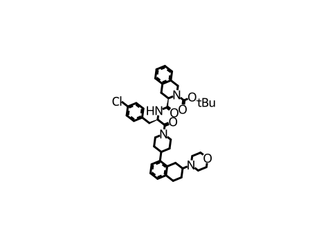 CC(C)(C)OC(=O)N1Cc2ccccc2C[C@@H]1C(=O)N[C@H](Cc1ccc(Cl)cc1)C(=O)N1CCC(c2cccc3c2CC(N2CCOCC2)CC3)CC1